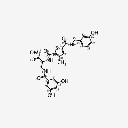 COC(=O)C(CNC(=O)c1cc(O)cc(O)c1)NC(=O)c1sc(C(=O)NCc2cccc(O)c2)cc1C